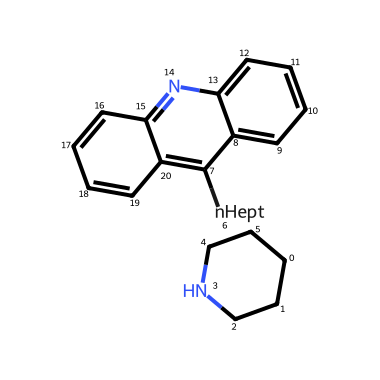 C1CCNCC1.CCCCCCCc1c2ccccc2nc2ccccc12